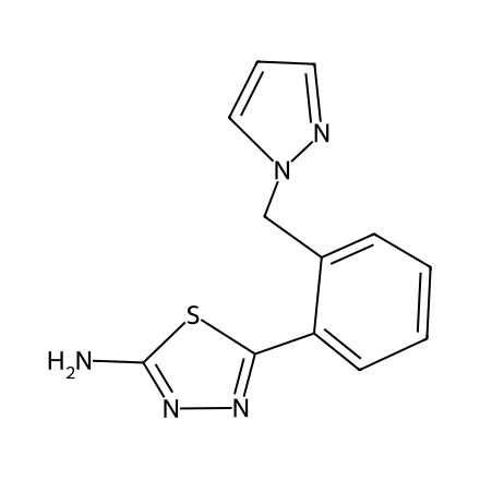 Nc1nnc(-c2ccccc2Cn2cccn2)s1